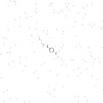 CCCCC[C@H]1CC[C@H](OC(=O)c2ccc(C3=CCC(CCC(CC)CC)CC3)cc2)CC1